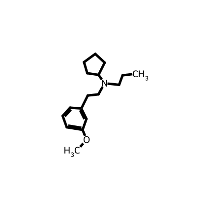 CCCN(CCc1cccc(OC)c1)C1CCCC1